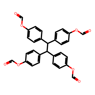 O=COc1ccc(C(c2ccc(OC=O)cc2)C(c2ccc(OC=O)cc2)c2ccc(OC=O)cc2)cc1